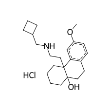 COc1ccc2c(c1)C1(CCNCC3CCC3)CCCCC1(O)CC2.Cl